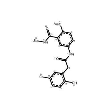 COc1ccc(NC(=O)Cc2cc(Cl)ccc2O)cc1C(=O)NC(C)(C)C